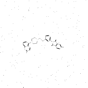 Cc1ccc2c(c1)C(=O)N(c1cccc(CCN3CCN(c4cccc5nc(C)ccc45)CC3)c1)C2=O